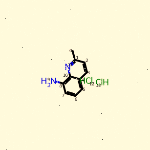 Cc1ccc2cccc(N)c2n1.Cl.Cl